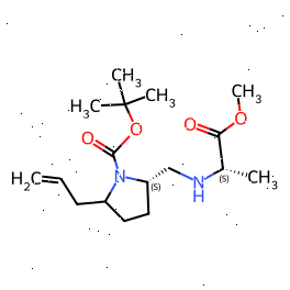 C=CCC1CC[C@@H](CN[C@@H](C)C(=O)OC)N1C(=O)OC(C)(C)C